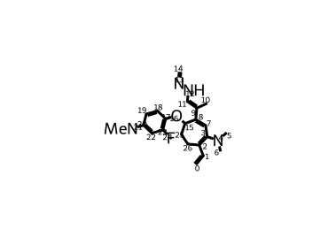 C=CC1=C(N(C)C)C=C(/C(C)=C/NN=C)C(Oc2ccc(NC)cc2F)CC1